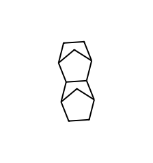 C1CC2CC1C1C3CCC(C3)C21